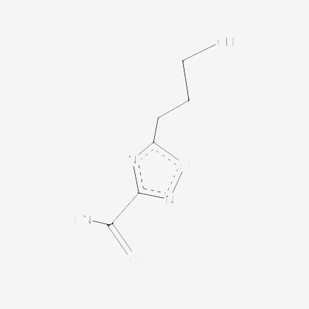 CCCCc1nc(C(N)=O)no1